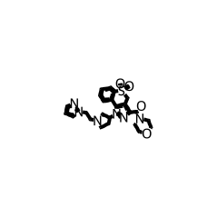 O=C(c1nn(C2CCN(CCn3cccn3)C2)c2c1CS(=O)(=O)c1ccccc1-2)N1CCOCC1